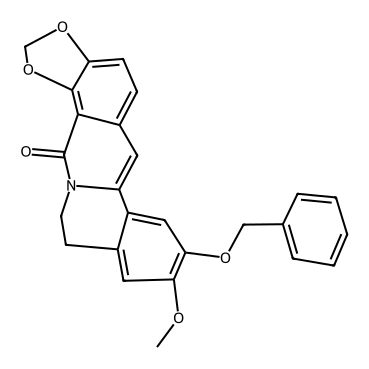 COc1cc2c(cc1OCc1ccccc1)-c1cc3ccc4c(c3c(=O)n1CC2)OCO4